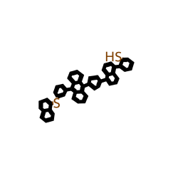 Sc1ccccc1-c1cccc2c(-c3ccc(-c4c5ccccc5c(-c5cccc(Sc6cccc7ccccc67)c5)c5ccccc45)cc3)cccc12